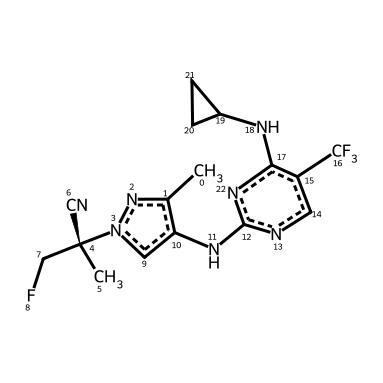 Cc1nn([C@@](C)(C#N)CF)cc1Nc1ncc(C(F)(F)F)c(NC2CC2)n1